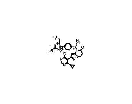 CCn1cc(C(F)(F)F)nc1-c1ccc([C@H](C)N2C(=O)CCn3nc(-c4c(OC)ncnc4C4CC4)cc32)cc1